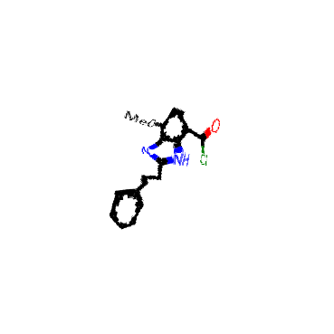 COc1ccc(C(=O)Cl)c2[nH]c(CCc3ccccc3)nc12